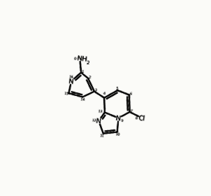 Nc1cc(-c2ccc(Cl)n3ccnc23)ccn1